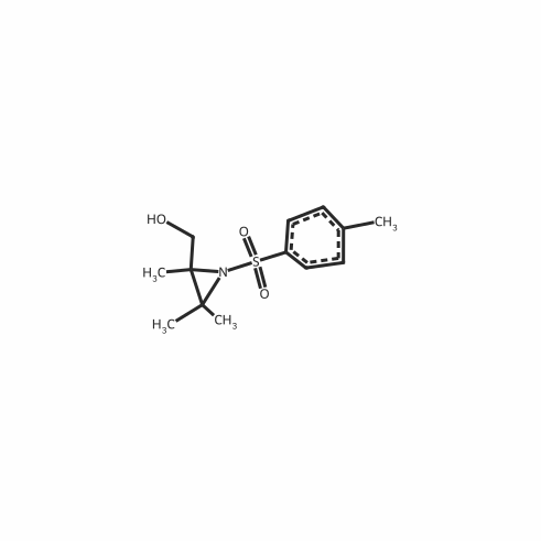 Cc1ccc(S(=O)(=O)N2C(C)(C)C2(C)CO)cc1